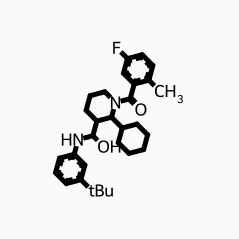 Cc1ccc(F)cc1C(=O)N1CCCC(C(O)Nc2cccc(C(C)(C)C)c2)C1C1CCCCC1